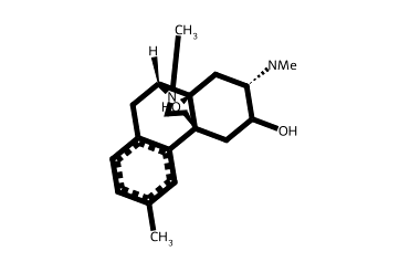 CN[C@H]1C[C@@]2(O)[C@H]3Cc4ccc(C)cc4[C@@]2(CCN3C)CC1O